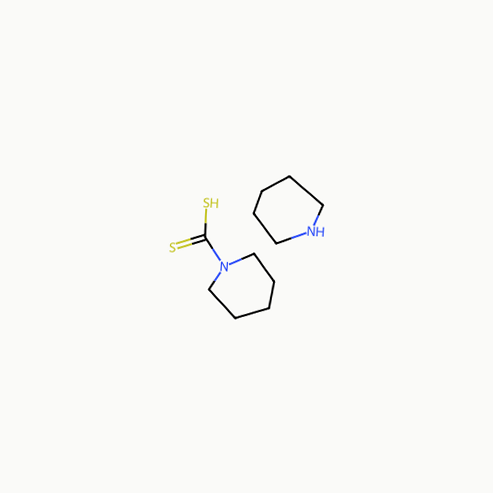 C1CCNCC1.S=C(S)N1CCCCC1